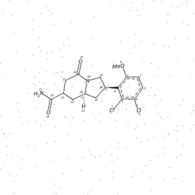 COc1ccc(Cl)c(Cl)c1[C@H]1C[C@H]2CC(C(N)=O)CC(=O)N2C1